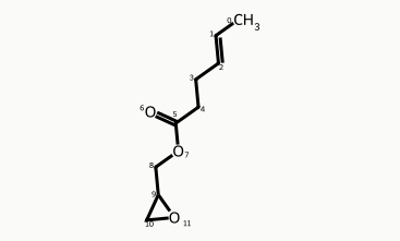 CC=CCCC(=O)OCC1CO1